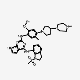 CCOc1cc(N2CCC(N3CCN(C)CC3)CC2)c(C)cc1Nc1nc(Nc2cccc3c2N(S(C)(=O)=O)CC3)c2cc[nH]c2n1